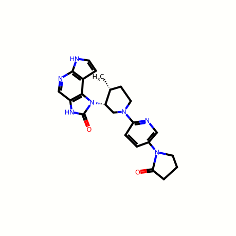 C[C@@H]1CCN(c2ccc(N3CCCC3=O)cn2)C[C@@H]1n1c(=O)[nH]c2cnc3[nH]ccc3c21